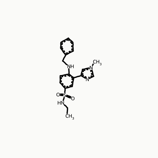 CCNS(=O)(=O)c1ccc(NCc2ccccc2)c(-c2cn(C)cn2)c1